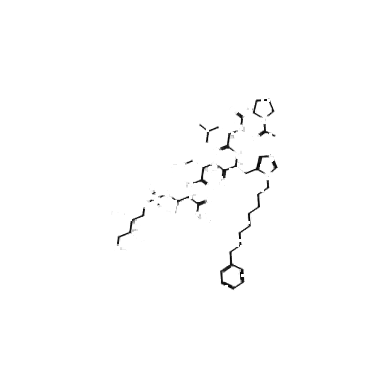 CC(=O)N1CCC[C@H]1C(=O)N[C@@H](CC(C)C)C(=O)N[C@@H](Cc1cncn1CCCCCCCCc1ccccc1)C(=O)N[C@@H](CO)C(=O)N[C@H](C(N)=O)[C@@H](C)OP(=O)(O)OC[C@@H](O)[C@H](O)CO